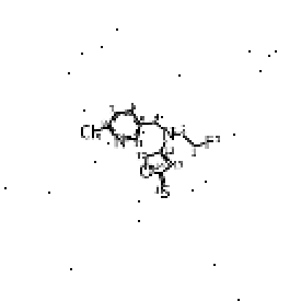 FCCN(Cc1ccc(Cl)nc1)C1=CC(=S)OC1